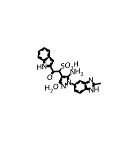 Cc1nc2cc(-n3ncc(C(C(=O)c4cc5ccccc5[nH]4)S(=O)(=O)O)c3N)ccc2[nH]1.O